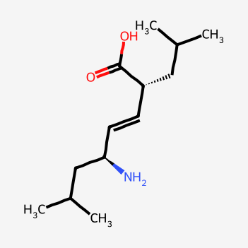 CC(C)C[C@H](N)/C=C/[C@@H](CC(C)C)C(=O)O